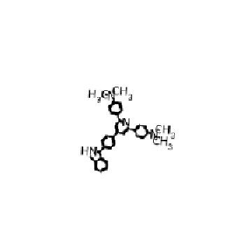 CN(C)c1ccc(-c2cc(-c3ccc(C4NCc5ccccc54)cc3)cc(-c3ccc(N(C)C)cc3)n2)cc1